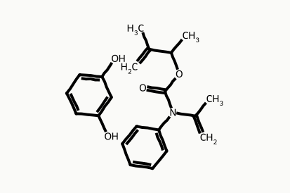 C=C(C)C(C)OC(=O)N(C(=C)C)c1ccccc1.Oc1cccc(O)c1